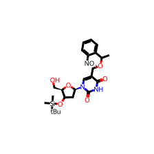 CC(OCc1cn([C@H]2CC(O[Si](C)(C)C(C)(C)C)[C@@H](CO)O2)c(=O)[nH]c1=O)c1ccccc1[N+](=O)[O-]